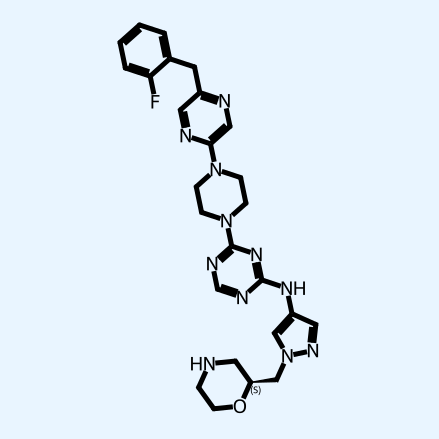 Fc1ccccc1Cc1cnc(N2CCN(c3ncnc(Nc4cnn(C[C@@H]5CNCCO5)c4)n3)CC2)cn1